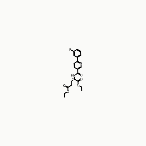 CCOC(=O)CC[C@@H](NC(=O)c1ccc(-c2cccc(F)c2)nc1)C(=O)OCC